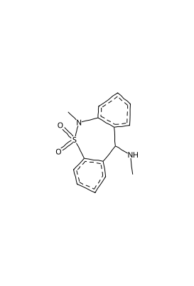 CNC1c2ccccc2N(C)S(=O)(=O)c2ccccc21